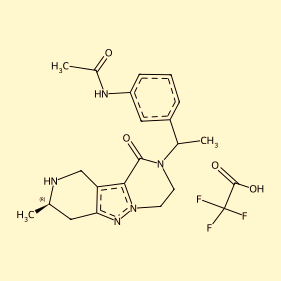 CC(=O)Nc1cccc(C(C)N2CCn3nc4c(c3C2=O)CN[C@H](C)C4)c1.O=C(O)C(F)(F)F